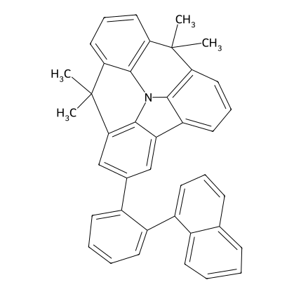 CC1(C)c2cccc3c2-n2c4c1cccc4c1cc(-c4ccccc4-c4cccc5ccccc45)cc(c12)C3(C)C